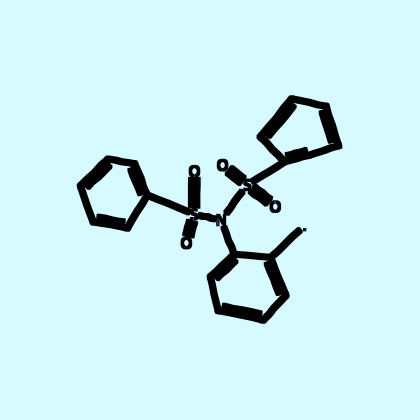 [CH2]c1ccccc1N(S(=O)(=O)c1ccccc1)S(=O)(=O)c1ccccc1